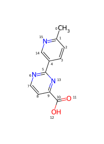 Cc1ccc(-c2nccc(C(=O)O)n2)cn1